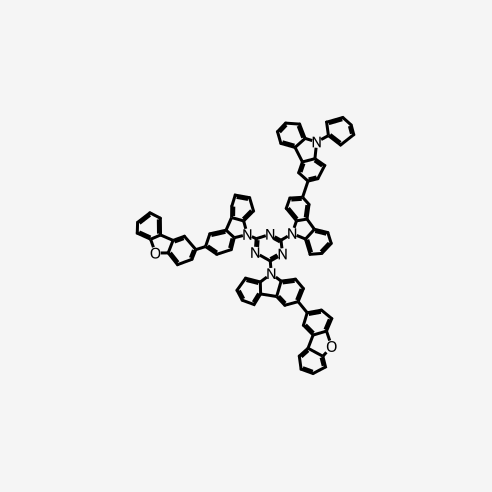 c1ccc(-n2c3ccccc3c3cc(-c4ccc5c(c4)c4ccccc4n5-c4nc(-n5c6ccccc6c6cc(-c7ccc8oc9ccccc9c8c7)ccc65)nc(-n5c6ccccc6c6cc(-c7ccc8oc9ccccc9c8c7)ccc65)n4)ccc32)cc1